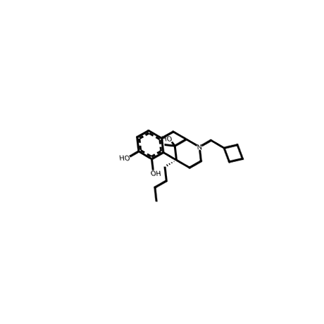 CCCC[C@]12CCN(CC3CCC3)C(Cc3ccc(O)c(O)c31)C2(C)O